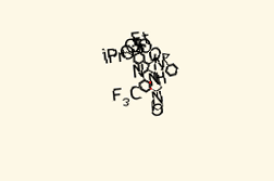 CCS(=O)(=O)c1cc2c(C(=O)NC3(c4ccccc4)CC3)c(CN3CCC(N4CCOCC4)CC3)c(-c3cccc(C(F)(F)F)c3)nc2cc1OC(C)C